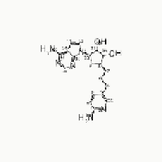 Nc1ccc(CCC[C@H]2C[C@@H](n3ccc4c(N)ncnc43)[C@H](O)[C@@H]2O)cn1